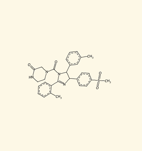 Cc1cccc(C2C(c3ccc(S(C)(=O)=O)cc3)N=C(c3ccccc3C)N2C(=O)N2CCNC(=O)C2)c1